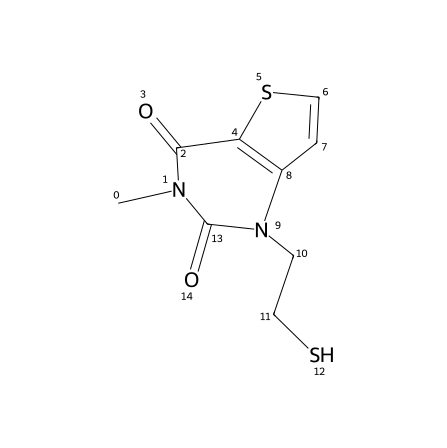 Cn1c(=O)c2sccc2n(CCS)c1=O